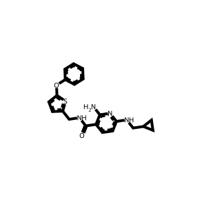 Nc1nc(NCC2CC2)ccc1C(=O)NCc1ccc(Oc2ccccc2)s1